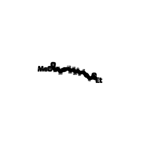 CCC1OC1CC#CCCCCCCCC#CCCCC(=O)OC